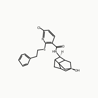 O=C(N[C@H]1C2CC3CC1C[C@@](O)(C3)C2)c1ccc(Cl)nc1SCCc1ccccc1